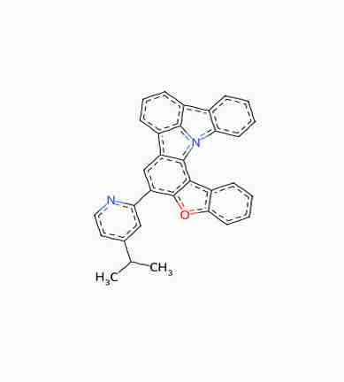 CC(C)c1ccnc(-c2cc3c4cccc5c6ccccc6n(c54)c3c3c2oc2ccccc23)c1